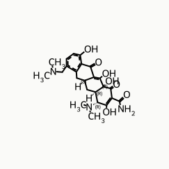 CN(C)Cc1ccc(O)c2c1C[C@@H]1C[C@@H]3[C@@H](N(C)C)C(O)=C(C(N)=O)C(=O)[C@]3(O)C(O)=C1C2=O